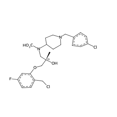 C[C@@](O)(COc1cc(F)ccc1CCl)CN(C(=O)O)C1CCN(Cc2ccc(Cl)cc2)CC1